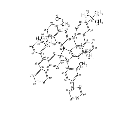 Cc1cc2c3c(c1)N(c1ccc(C(C)(C)C)cc1-c1ccccc1)c1cc4c(cc1B3c1cc(/C(=C\c3ccccc3)c3ccccc3)ccc1N2c1ccc(-c2ccccc2)cc1C)C(C)(C)CCC4(C)C